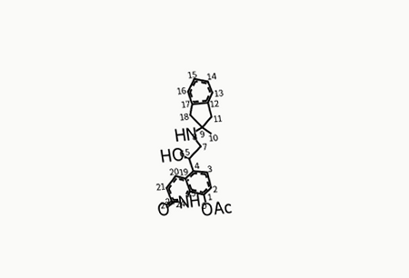 CC(=O)Oc1ccc([C@@H](O)CNC2(C)Cc3ccccc3C2)c2ccc(=O)[nH]c12